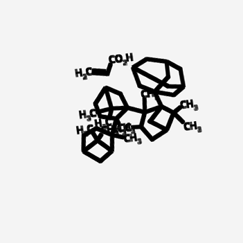 C=CC(=O)O.CC1CC2CC(C34CC5CC(CC(C5)C3)C4)(C2(C)C)C1(C)C12CC(CCC1(C)C1(C)CCC3CC1C3(C)C)C2(C)C